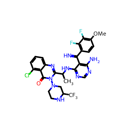 COc1ccc(C(=N)c2c(N)ncnc2NC(C)c2nc3cccc(Cl)c3c(=O)n2N2CCNC(C(F)(F)F)C2)c(F)c1F